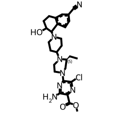 CC[C@H]1CN(c2nc(N)c(C(=O)OC)nc2Cl)CCN1C1CCN(C2c3ccc(C#N)cc3CCC2O)CC1